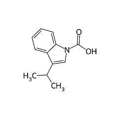 CC(C)c1cn(C(=O)O)c2ccccc12